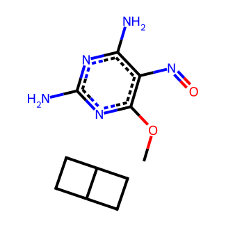 C1CC2CCC12.COc1nc(N)nc(N)c1N=O